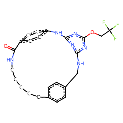 O=C1NCCCCCc2ccc(cc2)CNc2nc(nc(OCC(F)(F)F)n2)Nc2ccc1cc2